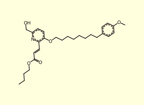 CCCCOC(=O)C=Cc1nc(CO)ccc1OCCCCCCCCc1ccc(OC)cc1